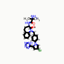 CC(C)(N)C(=O)N[C@@H]1CCc2ccccc2N(Cc2ccc(-n3cc(Br)cc3-c3nnn[nH]3)cc2)C1=O